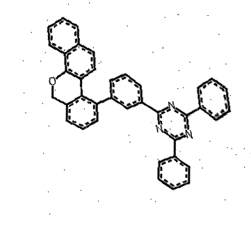 c1ccc(-c2nc(-c3ccccc3)nc(-c3cccc(-c4cccc5c4-c4ccc6ccccc6c4OC5)c3)n2)cc1